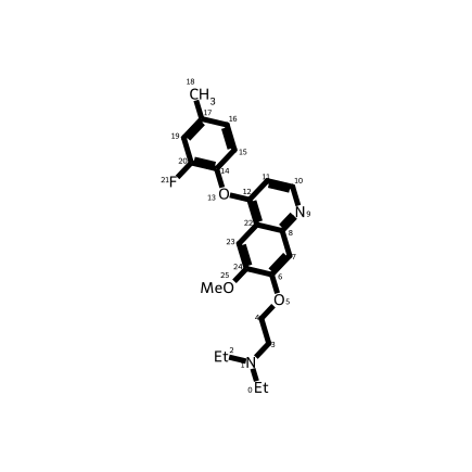 CCN(CC)CCOc1cc2nccc(Oc3ccc(C)cc3F)c2cc1OC